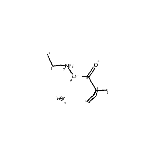 Br.C=C(C)C(=O)ONCC